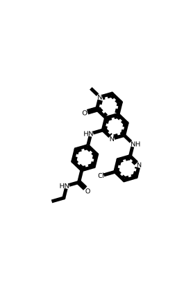 CCNC(=O)c1ccc(Nc2nc(Nc3cc(Cl)ccn3)cc3ccn(C)c(=O)c23)cc1